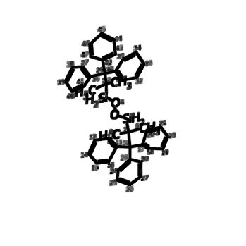 CC(C)([SiH2]OO[SiH2]C(C)(C)C(c1ccccc1)(c1ccccc1)c1ccccc1)C(c1ccccc1)(c1ccccc1)c1ccccc1